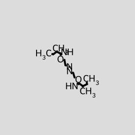 CCC(C)C(=N)OCCN=NCCOC(=N)C(C)CC